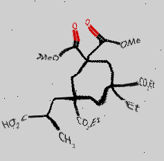 CCOC(=O)C1(CC)CC(CC(C)C(=O)O)(C(=O)OCC)CC(C(=O)OC)(C(=O)OC)C1